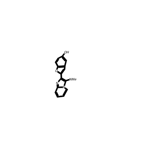 CNc1c(-c2cc3cc(O)ccc3o2)nc2ccccn12